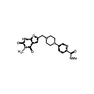 CNC(=O)c1ccc(N2CCN(Cc3cc4c(=O)n(C)c(=O)[nH]c4o3)CC2)cn1